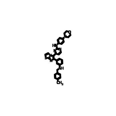 Cc1ccc(CNc2cccc(-c3nc4sccn4c3-c3ccnc(Nc4ccc(N5CCOCC5)cc4)n3)c2)cc1